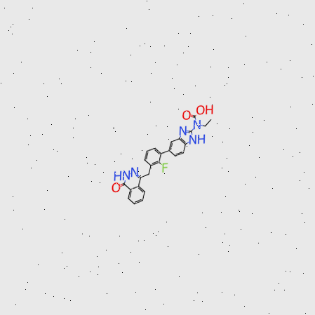 CCN(C(=O)O)c1nc2cc(-c3cccc(Cc4n[nH]c(=O)c5ccccc45)c3F)ccc2[nH]1